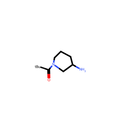 CC(C)(C)C(=O)N1CCCC(N)C1